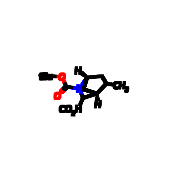 CC1C[C@@H]2C[C@H]1C(C(=O)O)N2C(=O)OC(C)(C)C